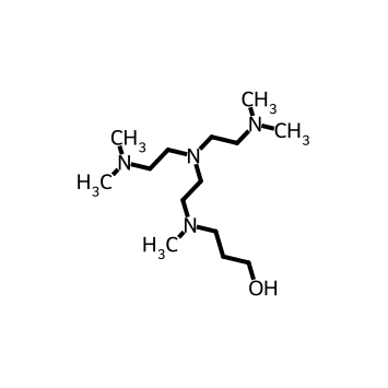 CN(C)CCN(CCN(C)C)CCN(C)CCCO